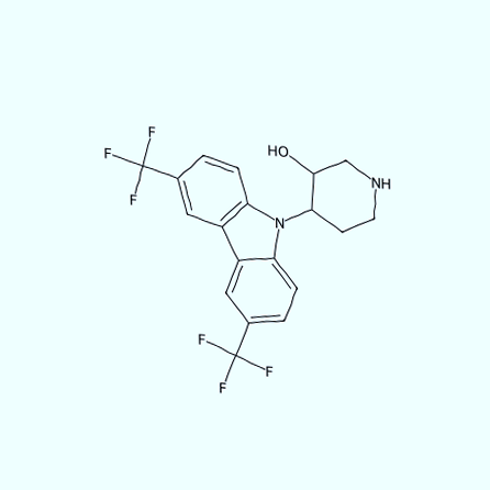 OC1CNCCC1n1c2ccc(C(F)(F)F)cc2c2cc(C(F)(F)F)ccc21